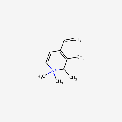 C=CC1=C(C)C(C)[N+](C)(C)C=C1